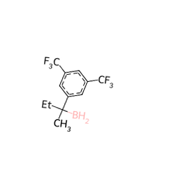 BC(C)(CC)c1cc(C(F)(F)F)cc(C(F)(F)F)c1